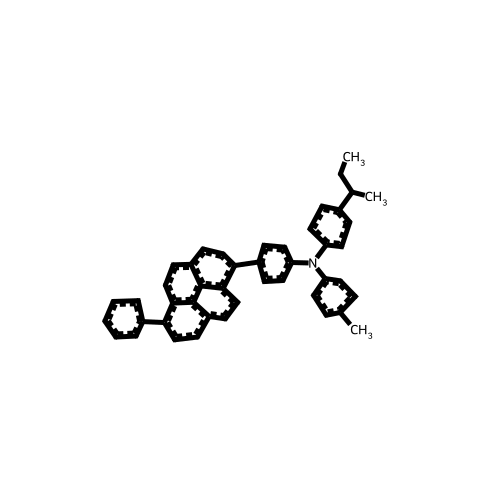 CCC(C)c1ccc(N(c2ccc(C)cc2)c2ccc(-c3ccc4ccc5c(-c6ccccc6)ccc6ccc3c4c65)cc2)cc1